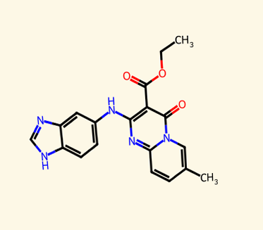 CCOC(=O)c1c(Nc2ccc3[nH]cnc3c2)nc2ccc(C)cn2c1=O